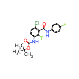 CC(C)(C)OC(=O)Nc1ccc(Cl)c(C(=O)Nc2ccc(F)cc2)c1F